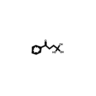 O=C(CCC(O)(O)O)c1ccccc1